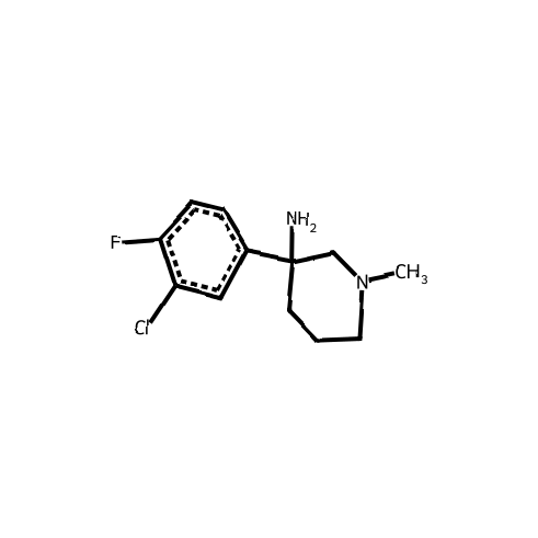 CN1CCCC(N)(c2ccc(F)c(Cl)c2)C1